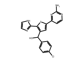 Nc1nccc(-c2cc(C(O)c3ccc(Cl)cc3)c(-c3ncc[nH]3)s2)n1